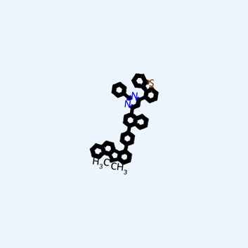 CC1(C)c2cccc(-c3ccc(-c4ccc(-c5cc(-c6cccc7sc8ccccc8c67)nc(-c6ccccc6)n5)c5ccccc45)cc3)c2-c2ccc3ccccc3c21